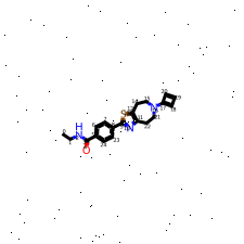 CCNC(=O)c1ccc(-c2nc3c(s2)CCN(C2=CC=C2)CC3)cc1